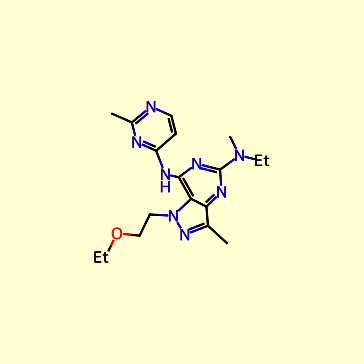 CCOCCn1nc(C)c2nc(N(C)CC)nc(Nc3ccnc(C)n3)c21